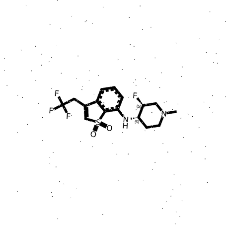 CN1CC[C@H](Nc2cccc3c2S(=O)(=O)C=C3CC(F)(F)F)[C@@H](F)C1